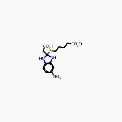 CCOC(=O)CCCCSC1(CC(=O)O)Nc2ccc([N+](=O)[O-])cc2N1